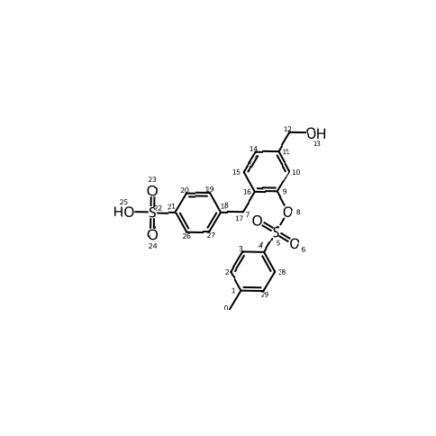 Cc1ccc(S(=O)(=O)Oc2cc(CO)ccc2Cc2ccc(S(=O)(=O)O)cc2)cc1